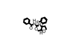 O=C(NC1=N[C@@]2(c3ccccc3F)CCO[C@H]2CO1)c1ccccc1